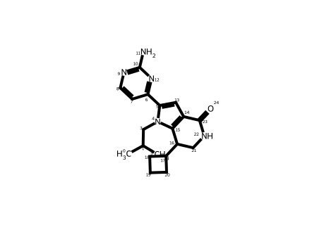 CC(C)Cn1c(-c2ccnc(N)n2)cc2c1C(C1CCC1)CNC2=O